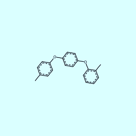 Cc1ccc(Oc2ccc(Oc3ccccc3C)cc2)cc1